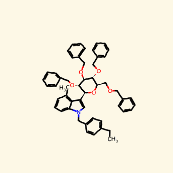 CCc1ccc(Cn2cc([C@@H]3O[C@H](COCc4ccccc4)[C@@H](OCc4ccccc4)[C@H](OCc4ccccc4)[C@H]3OCc3ccccc3)c3c(C)cccc32)cc1